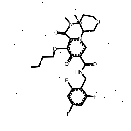 CCCCOc1c2n(cc(C(=O)NCc3c(F)cc(F)cc3F)c1=O)C1COCC[C@@]1(C)N(C)C2=O